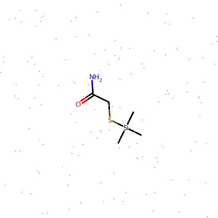 C[Si](C)(C)SCC(N)=O